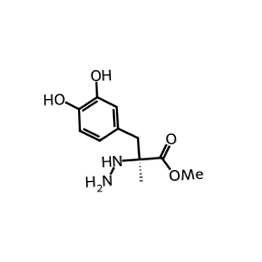 COC(=O)[C@](C)(Cc1ccc(O)c(O)c1)NN